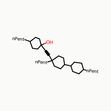 CCCCCC1CCC(C2CCC(C#CC3(O)CCC(CCCCC)CC3)(CCCCC)CC2)CC1